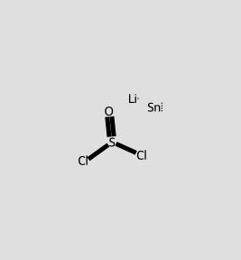 O=S(Cl)Cl.[Li].[Sn]